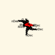 CCCCCCCCCCCCCCOc1ccc(C(c2ccc(OC)cc2)(c2ccc(OCCCCCCCCCCCCCC)cc2)c2cc([N+](=O)[O-])ccc2OC(=O)Oc2ccc([N+](=O)[O-])cc2C(c2ccc(OC)cc2)(c2ccc(OCCCCCCCCCCCCCC)cc2)c2ccc(OCCCCCCCCCCCCCC)cc2)cc1